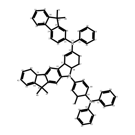 CC1C=C(N2c3cc4c(cc3C3C=C(N(c5ccccc5)c5ccc6c(c5)C(C)(C)c5ccccc5-6)CCC32)C2CC=CC=C2C4(C)C)C=CC1N(c1ccccc1)c1ccccc1